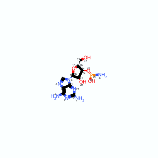 Nc1nc(N)c2ncn([C@@H]3O[C@H](CO)[C@@H](OP(N)O)[C@H]3O)c2n1